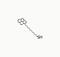 SCCCCCCCCCCCc1ccc2ccc3cccc4ccc1c2c34